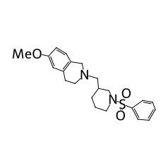 COc1ccc2c(c1)CCN(CC1CCCN(S(=O)(=O)c3ccccc3)C1)C2